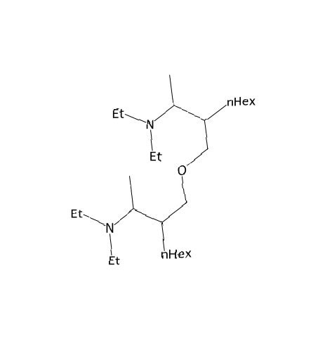 CCCCCCC(COCC(CCCCCC)C(C)N(CC)CC)C(C)N(CC)CC